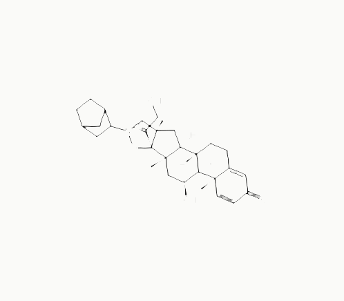 C[C@]12C=CC(=O)C=C1CC[C@H]1[C@@H]3C[C@H]4CN(C5CC6CCC5C6)O[C@@]4(C(=O)CO)[C@@]3(C)C[C@H](O)[C@@]12F